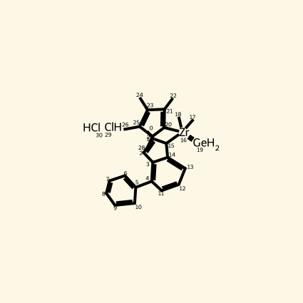 CC1=Cc2c(-c3ccccc3)cccc2[CH]1[Zr]([CH3])([CH3])(=[GeH2])[C]1=C(C)C(C)=C(C)C1C.Cl.Cl